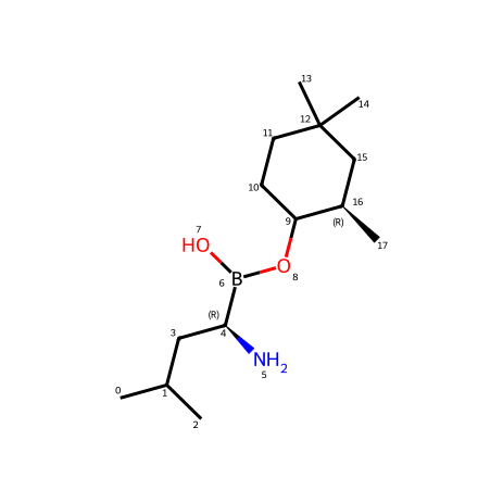 CC(C)C[C@H](N)B(O)OC1CCC(C)(C)C[C@H]1C